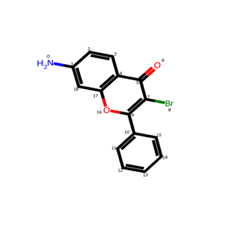 Nc1ccc2c(=O)c(Br)c(-c3ccccc3)oc2c1